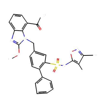 CCOc1nc2cccc(C(=O)OC)c2n1Cc1ccc(-c2ccccc2)c(S(=O)(=O)Nc2onc(C)c2C)c1